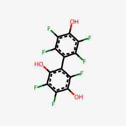 Oc1c(F)c(F)c(-c2c(O)c(F)c(F)c(O)c2F)c(F)c1F